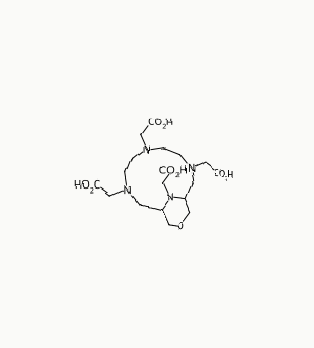 O=C(O)CN1CCN(CC(=O)O)CC2COCC(CN(CC(=O)O)CC1)N2CC(=O)O